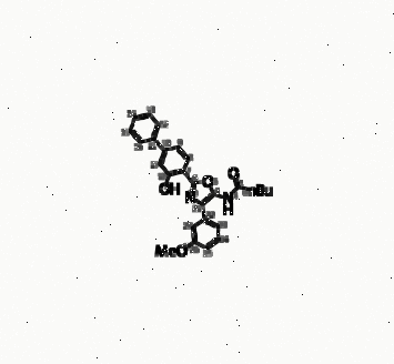 CCCCC(=O)Nc1oc(-c2ccc(-c3ccccc3)cc2O)nc1-c1cccc(OC)c1